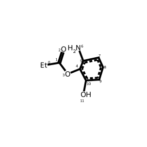 CCC(=O)Oc1c(N)cccc1O